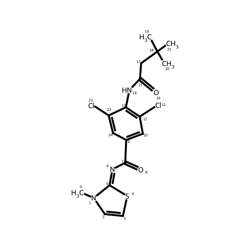 Cn1ccsc1=NC(=O)c1cc(Cl)c(NC(=O)CC(C)(C)C)c(Cl)c1